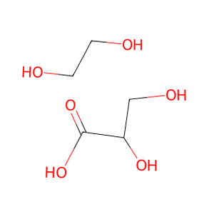 O=C(O)C(O)CO.OCCO